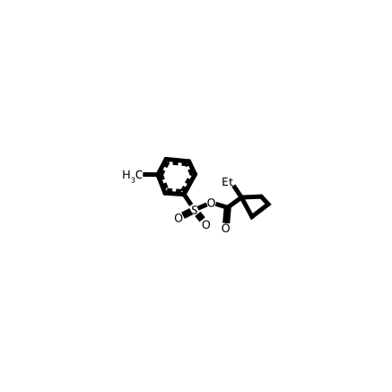 CCC1(C(=O)OS(=O)(=O)c2cccc(C)c2)CCC1